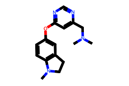 CN(C)Cc1cc(Oc2ccc3c(c2)CCN3C)ncn1